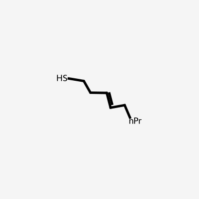 CCCC/C=C/CCS